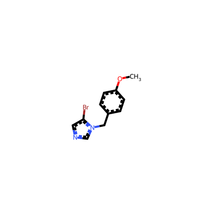 COc1ccc(Cn2cncc2Br)cc1